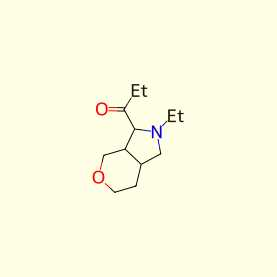 CCC(=O)C1C2COCCC2CN1CC